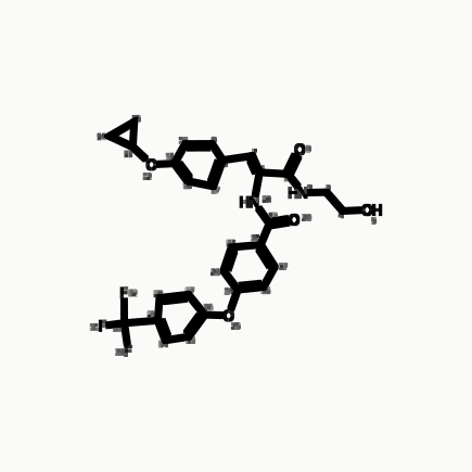 O=C(NCCO)C(=Cc1ccc(OC2CC2)cc1)NC(=O)c1ccc(Oc2ccc(C(F)(F)F)cc2)cc1